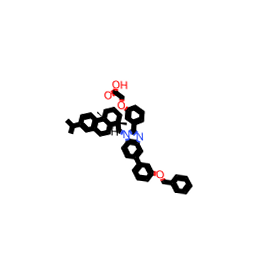 CC(C)c1ccc2c(c1)CC[C@H]1[C@@](C)(Cn3c(-c4cccc(OCC(=O)O)c4)nc4cc(-c5cccc(OCc6ccccc6)c5)ccc43)CCC[C@]21C